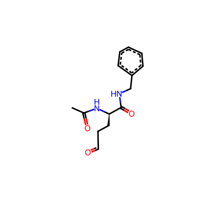 CC(=O)N[C@H](CCC=O)C(=O)NCc1ccccc1